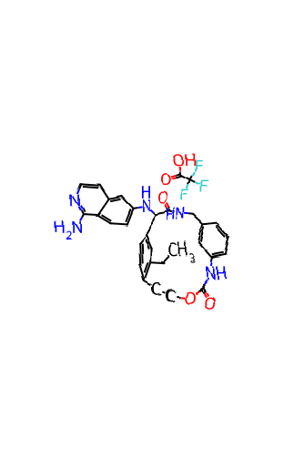 CCc1cc2ccc1CCOC(=O)Nc1cccc(c1)CNC(=O)C2Nc1ccc2c(N)nccc2c1.O=C(O)C(F)(F)F